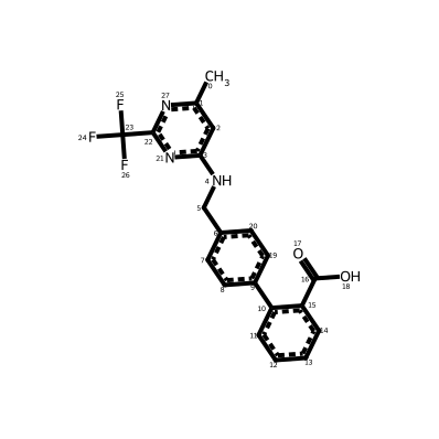 Cc1cc(NCc2ccc(-c3ccccc3C(=O)O)cc2)nc(C(F)(F)F)n1